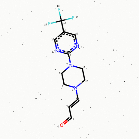 O=CC=CN1CCN(c2ncc(C(F)(F)F)cn2)CC1